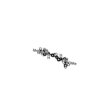 CCC[C@H]1[C@@H](C)CC(c2ncc(-c3ccc4c(c3)COc3cc5c(ccc6nc(C7CC[C@H](C)N7C(=O)[C@@H](NC(=O)OC)C7CCOCC7)[nH]c65)cc3-4)[nH]2)N1C(=O)[C@@H](NC(=O)OC)C(C)CC